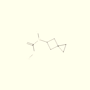 CN(C(=O)OC(C)(C)C)C1CC2(CC2)C1